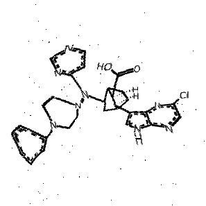 O=C(O)[C@@H]1C2CCC(CC2N(c2ccncn2)N2CCN(c3ccccc3)CC2)[C@@H]1c1c[nH]c2ncc(Cl)nc12